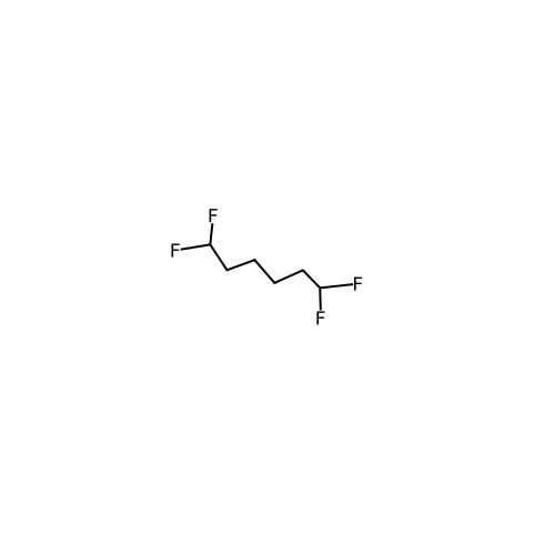 FC(F)CCCCC(F)F